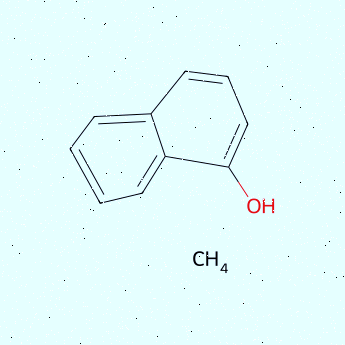 C.Oc1cccc2ccccc12